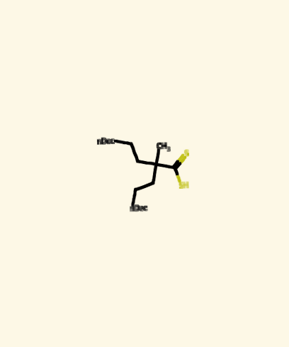 CCCCCCCCCCCCC(C)(CCCCCCCCCCCC)C(=S)S